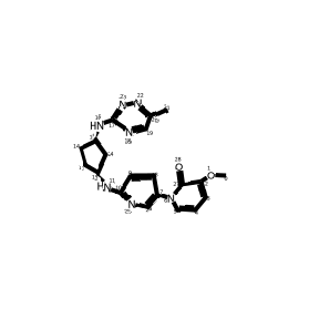 COc1cccn(-c2ccc(N[C@H]3CC[C@H](Nc4ncc(C)nn4)C3)nc2)c1=O